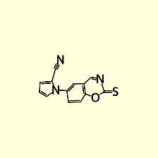 N#Cc1cccn1-c1ccc2oc(=S)ncc2c1